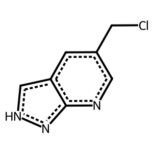 ClCc1cnc2n[nH]cc2c1